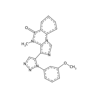 COc1cccc(-n2nncc2-c2ncn3c4ccccc4c(=O)n(C)c23)c1